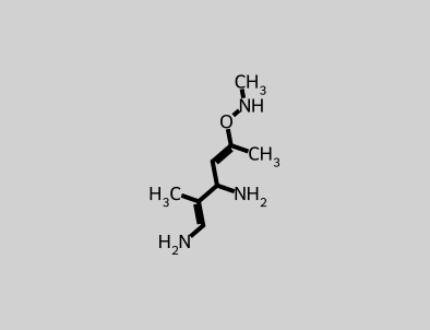 CNO/C(C)=C/C(N)/C(C)=C/N